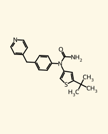 CC(C)(C)c1cc(N(C(N)=O)c2ccc(Cc3ccncc3)cc2)cs1